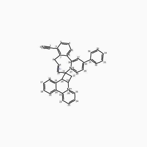 N#Cc1cccc2c1C/C=C/C1(CC3C1c1ccccc1-c1cccc[n+]13)[n+]1ccc(-c3ccccc3)cc1-2